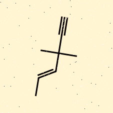 C#CC(C)(C)C=CC